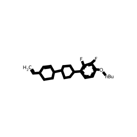 C=CC1C=CC(C2CCC(c3ccc(OCCCC)c(F)c3F)CC2)CC1